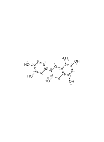 Cc1c(O)cc(O)c2c1OC(c1ccc(O)c(O)c1)C(O)C2